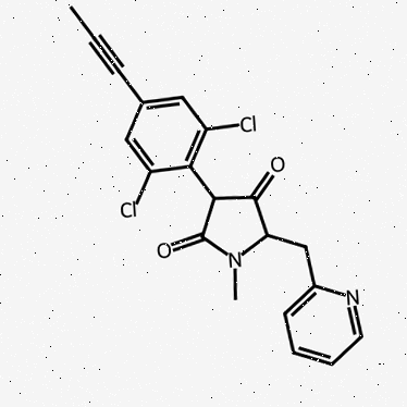 CC#Cc1cc(Cl)c(C2C(=O)C(Cc3ccccn3)N(C)C2=O)c(Cl)c1